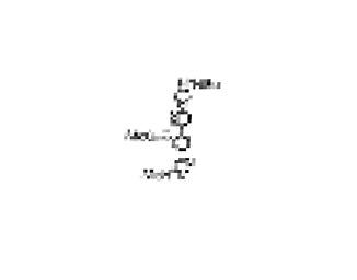 CNc1cc(-c2ccc(-c3ccc(N4CC[C@@H](NC(C)(C)C)C4)nn3)c(OCOC)c2)ncn1